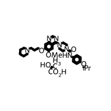 CC(O)C(=O)O.COc1cc2c(N3CCN(C(=O)Nc4ccc(OC(C)C)cc4)CC3)ncnc2cc1OCCCN1CCCCC1